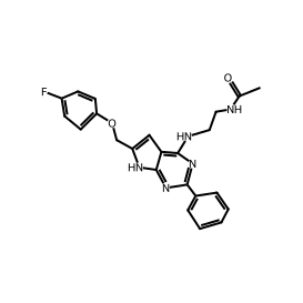 CC(=O)NCCNc1nc(-c2ccccc2)nc2[nH]c(COc3ccc(F)cc3)cc12